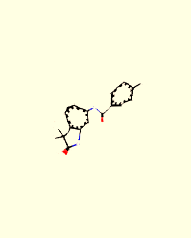 Cc1ccc(C(=O)Nc2ccc3c(c2)NC(=O)C3(C)C)cc1